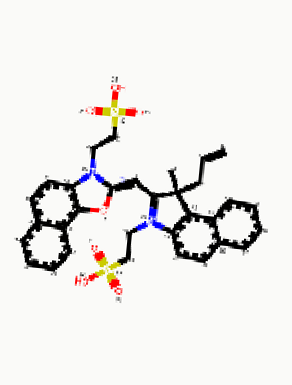 C=CCC1(C)C(/C=C2\Oc3c(ccc4ccccc34)N2CCS(=O)(=O)O)=[N+](CCS(=O)(=O)O)c2ccc3ccccc3c21